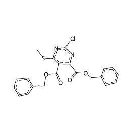 CSc1nc(Cl)nc(C(=O)OCc2ccccc2)c1C(=O)OCc1ccccc1